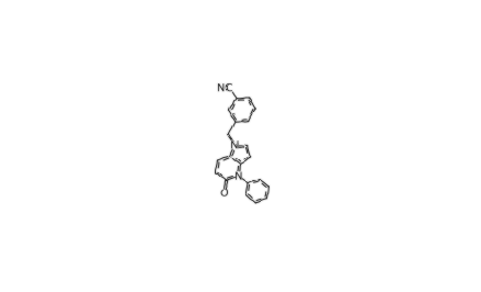 N#Cc1cccc(Cn2ccc3c2ccc(=O)n3-c2ccccc2)c1